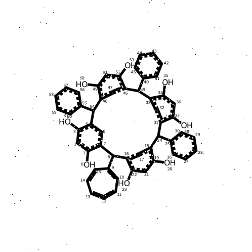 Oc1cc(O)c2cc1C(C1=CC=C=CC=C1)c1cc(c(O)cc1O)C(c1ccccc1)c1cc(c(O)cc1O)C(c1ccccc1)c1cc(c(O)cc1O)C2c1ccccc1